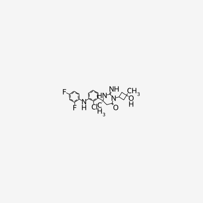 CC1(O)CC(N2C(=N)N[C@](C)(c3cccc(Nc4ccc(F)cc4F)c3Cl)CC2=O)C1